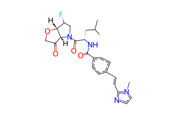 CC(C)C[C@H](NC(=O)c1ccc(/C=C/c2nccn2C)cc1)C(=O)N1CC(F)[C@H]2OCC(=O)[C@H]21